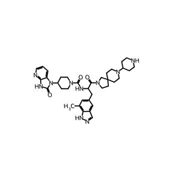 Cc1cc(CC(NC(=O)N2CCC(n3c(=O)[nH]c4ncccc43)CC2)C(=O)N2CCC3(CCN(C4CCNCC4)CC3)C2)cc2cn[nH]c12